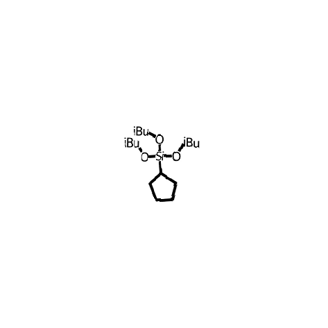 CCC(C)O[Si](OC(C)CC)(OC(C)CC)C1CCCC1